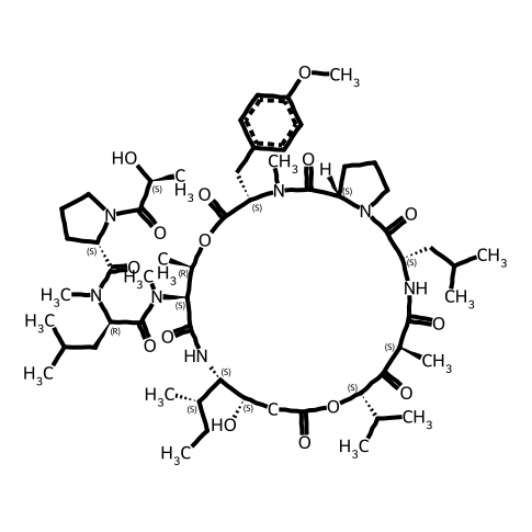 CC[C@H](C)[C@@H]1NC(=O)[C@@H](N(C)C(=O)[C@@H](CC(C)C)N(C)C(=O)[C@@H]2CCCN2C(=O)[C@H](C)O)[C@@H](C)OC(=O)[C@H](Cc2ccc(OC)cc2)N(C)C(=O)[C@@H]2CCCN2C(=O)[C@H](CC(C)C)NC(=O)[C@@H](C)C(=O)[C@H](C(C)C)OC(=O)C[C@@H]1O